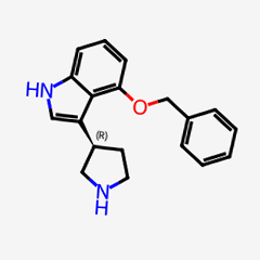 c1ccc(COc2cccc3[nH]cc([C@H]4CCNC4)c23)cc1